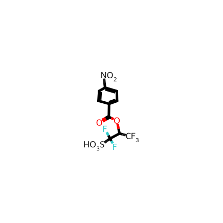 O=C(OC(C(F)(F)F)C(F)(F)S(=O)(=O)O)c1ccc([N+](=O)[O-])cc1